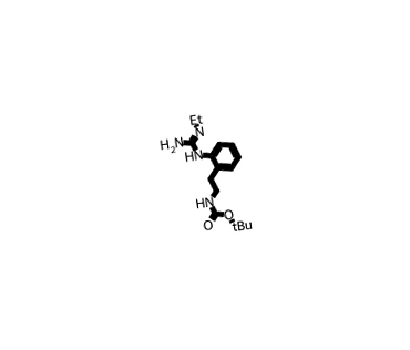 CCN=C(N)Nc1ccccc1CCNC(=O)OC(C)(C)C